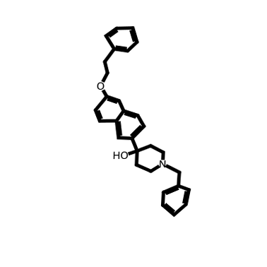 OC1(c2ccc3cc(OCCc4ccccc4)ccc3c2)CCN(Cc2ccccc2)CC1